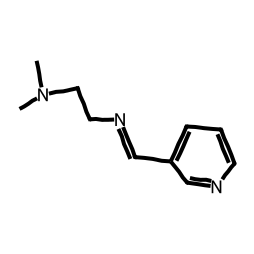 CN(C)CCN=Cc1cccnc1